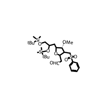 CO[C@H]1C(CC(CO[Si](C)(C)C(C)(C)C)O[Si](C)(C)C(C)(C)C)OC(CC=O)C1CS(=O)(=O)c1ccccc1